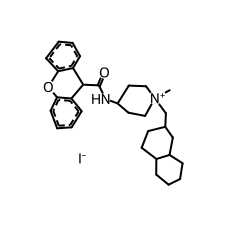 C[N+]1(CC2CCC3CCCCC3C2)CCC(NC(=O)C2c3ccccc3Oc3ccccc32)CC1.[I-]